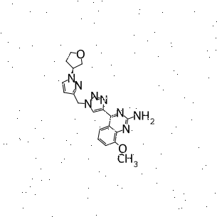 COc1cccc2c(-c3cn(Cc4ccn([C@H]5CCOC5)n4)nn3)nc(N)nc12